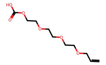 C=CCOCCOCCOCCOC(=O)O